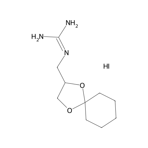 I.NC(N)=NCC1COC2(CCCCC2)O1